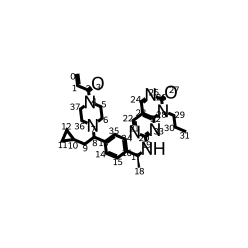 C=CC(=O)N1CCN(C(CC2CC2)c2ccc([C@H](C)Nc3ncc4cnc(=O)n(CCC)c4n3)cc2)CC1